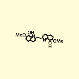 COc1ccc2ccc(CCc3ccc4ccc(OC)c(O)c4n3)nc2c1O